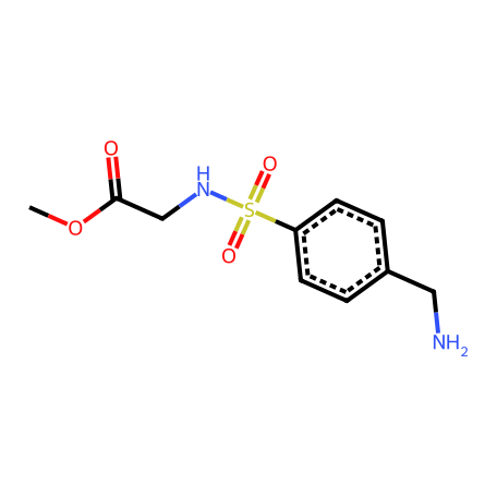 COC(=O)CNS(=O)(=O)c1ccc(CN)cc1